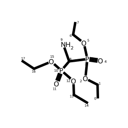 CCOP(=O)(OCC)C(N)P(=O)(OCC)OCC